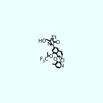 CCn1c(CO)nn(-c2cc(OC(C)C(F)(F)F)c3c(Oc4c(C)ccnc4Cl)nccc3c2)c1=O